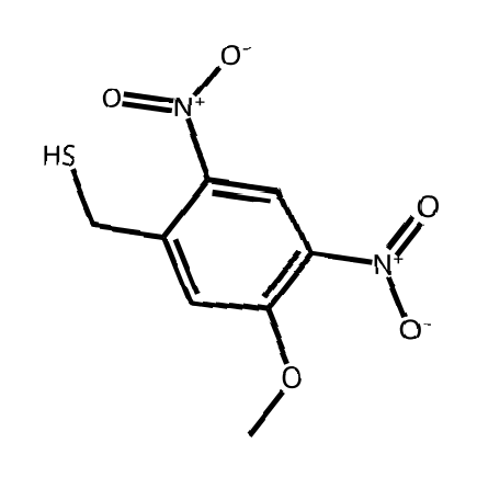 COc1cc(CS)c([N+](=O)[O-])cc1[N+](=O)[O-]